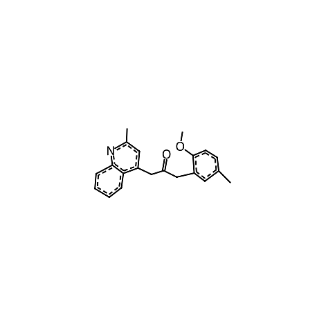 COc1ccc(C)cc1CC(=O)Cc1cc(C)nc2ccccc12